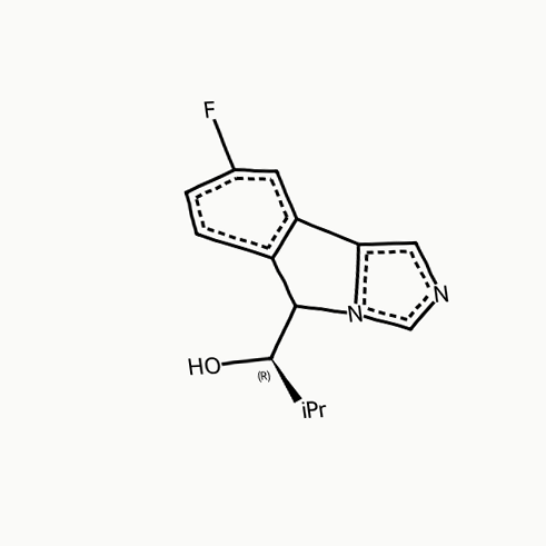 CC(C)[C@@H](O)C1c2ccc(F)cc2-c2cncn21